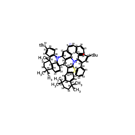 CC(C)(C)c1ccc(N2c3cc(/C=C\c4ccccc4)cc4c3B(c3ccc5c6c3N4c3ccc(C(C)(C)C)cc3C6(C)CCC5(C)C)c3c2sc2cc4c(cc32)C(C)(C)CCC4(C)C)c(-c2ccccc2)c1